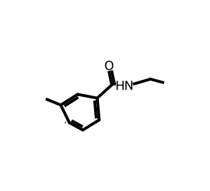 CCNC(=O)c1cc[c]c(C)c1